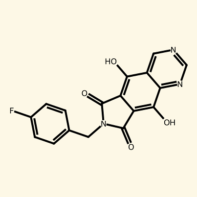 O=C1c2c(c(O)c3ncncc3c2O)C(=O)N1Cc1ccc(F)cc1